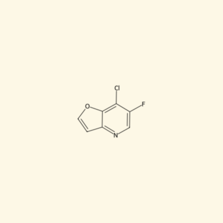 Fc1cnc2ccoc2c1Cl